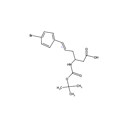 CC(C)(C)OC(=O)NC(C/C=C/c1ccc(Br)cc1)CC(=O)O